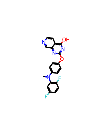 CN(c1ccc(Oc2nc(O)c3ccncc3n2)cc1)c1cc(F)ccc1F